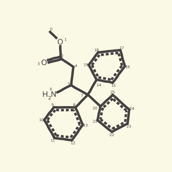 COC(=O)CC(N)C(c1ccccc1)(c1ccccc1)c1ccccc1